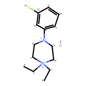 CC[N+]1(CC)CCN(c2cccc(F)c2)CC1.[I-]